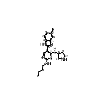 CCCCNc1ncc(-c2nc3cc(F)ccc3[nH]2)c(NC2CCNC2)n1